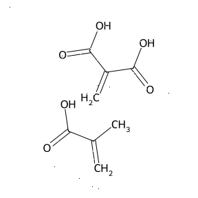 C=C(C(=O)O)C(=O)O.C=C(C)C(=O)O